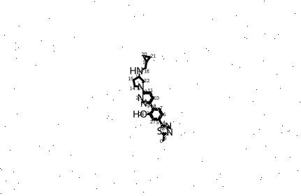 Cc1nnc(-c2ccc(-c3ccc(N4CC[C@@H](NCC5CC5)C4)nn3)c(O)c2)s1